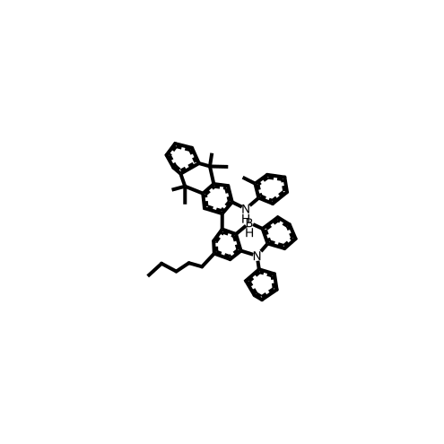 CCCCCc1cc(-c2cc3c(cc2Nc2ccccc2C)C(C)(C)c2ccccc2C3(C)C)c2c(c1)N(c1ccccc1)c1ccccc1B2